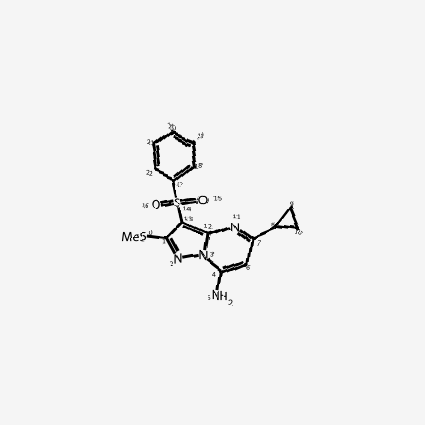 CSc1nn2c(N)cc(C3CC3)nc2c1S(=O)(=O)c1ccccc1